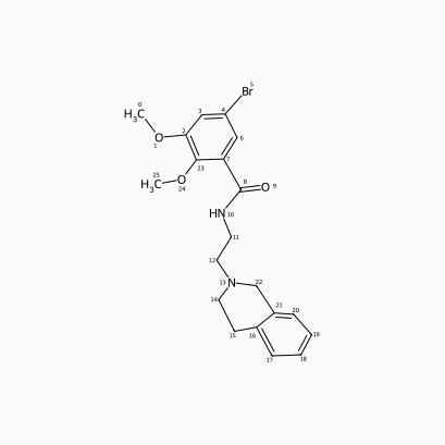 COc1cc(Br)cc(C(=O)NCCN2CCc3ccccc3C2)c1OC